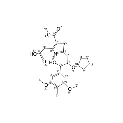 COC(=O)c1sc(CC(OC2CCCC2)C(O)c2cc(OC)c(C)c(OC)c2)nc1CC(=O)O